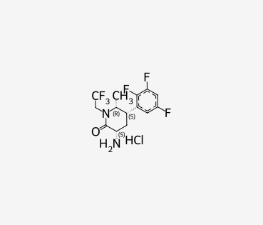 C[C@@H]1[C@H](c2cc(F)cc(F)c2F)C[C@H](N)C(=O)N1CC(F)(F)F.Cl